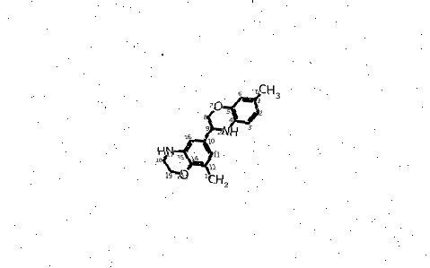 Cc1ccc2c(c1)OCC(c1cc(C)c3c(c1)NCCO3)N2